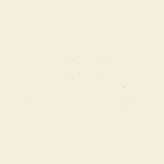 CN1CCCC1Cc1c[nH]c2ccc(CC(=O)c3ccc(N)cc3)cc12